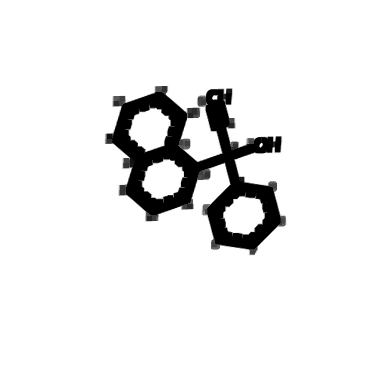 C#CC(O)(c1ccccc1)c1cccc2ccccc12